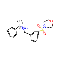 C[C@H](NCc1cccc(S(=O)(=O)N2CCOCC2)c1)c1ccccc1